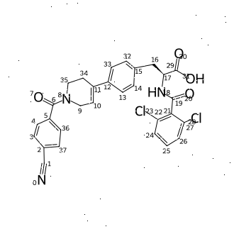 N#Cc1ccc(C(=O)N2CC=C(c3ccc(C[C@H](NC(=O)c4c(Cl)cccc4Cl)C(=O)O)cc3)CC2)cc1